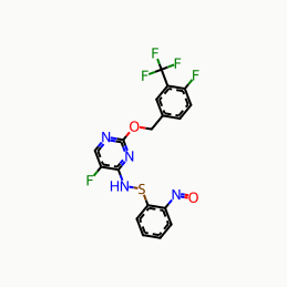 O=Nc1ccccc1SNc1nc(OCc2ccc(F)c(C(F)(F)F)c2)ncc1F